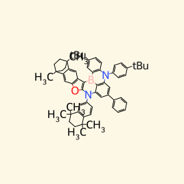 CC(C)(C)c1ccc(N2c3ccc(C(C)(C)C)cc3B3c4c2cc(-c2ccccc2)cc4N(c2ccc4c(c2)C(C)(C)CCC4(C)C)c2oc4cc5c(cc4c23)C2(C)CCC5(C)CC2)cc1